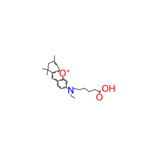 CCN(CCCCCC(=O)O)c1ccc2cc3c([o+]c2c1)C=C(C)CC3(C)C